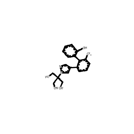 OCC(CO)(CO)n1cc(-c2cccc(C(F)(F)F)c2-c2ccccc2O)cn1